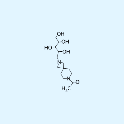 CC(=O)N1CCC2(CC1)CN(C[C@H](O)[C@H](O)[C@H](O)CO)C2